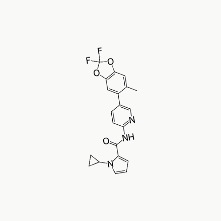 Cc1cc2c(cc1-c1ccc(NC(=O)c3cccn3C3CC3)nc1)OC(F)(F)O2